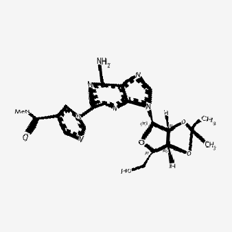 CNC(=O)c1cnn(-c2nc(N)c3ncn([C@@H]4O[C@H](CO)[C@H]5OC(C)(C)O[C@H]54)c3n2)c1